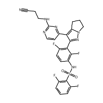 N#CCCNc1nccc(-c2c(-c3c(F)ccc(NS(=O)(=O)c4c(F)cccc4F)c3F)nn3c2CCC3)n1